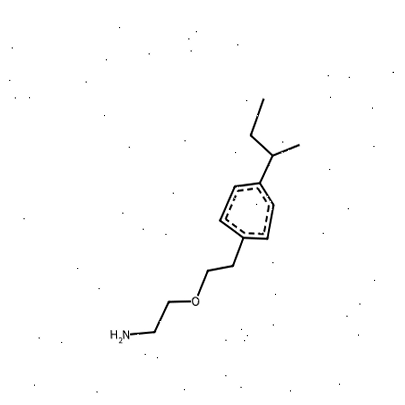 CCC(C)c1ccc(CCOCCN)cc1